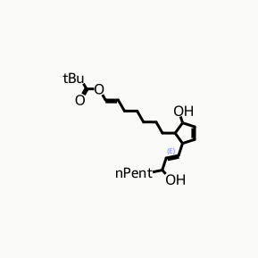 CCCCCC(O)/C=C/C1C=CC(O)C1CCCCCC=COC(=O)C(C)(C)C